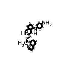 CN(CC[C@H]1Cc2c(cccc2N[C@H]2CC[C@H](N)CC2)CN1)[C@H]1CCCc2cccnc21